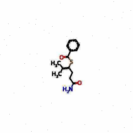 CC(C)=C(CCC(N)=O)SC(=O)c1ccccc1